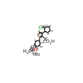 CC(C)(C)[Si](C)(C)Oc1ccc(-c2scc(-c3ccccc3Cl)c2CC(=O)O)cc1